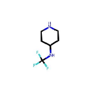 FC(F)(F)NC1CCNCC1